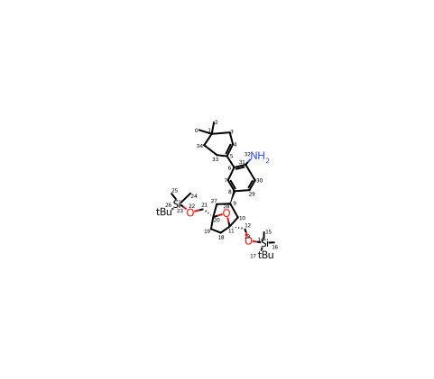 CC1(C)CC=C(c2cc([C@H]3C[C@@]4(CO[Si](C)(C)C(C)(C)C)CC[C@@](CO[Si](C)(C)C(C)(C)C)(C3)O4)ccc2N)CC1